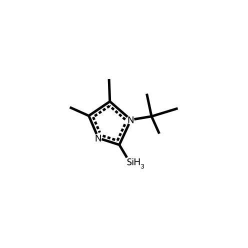 Cc1nc([SiH3])n(C(C)(C)C)c1C